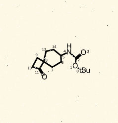 CC(C)(C)OC(=O)NC1CCC2(CCC2=O)CC1